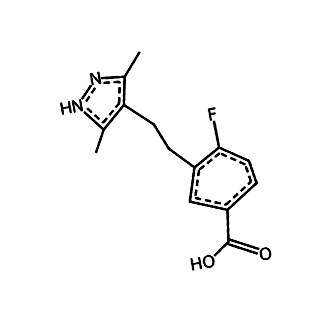 Cc1n[nH]c(C)c1CCc1cc(C(=O)O)ccc1F